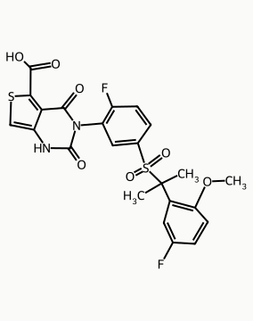 COc1ccc(F)cc1C(C)(C)S(=O)(=O)c1ccc(F)c(-n2c(=O)[nH]c3csc(C(=O)O)c3c2=O)c1